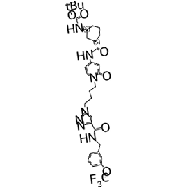 CC(C)(C)OC(=O)N[C@H]1CCC[C@H](C(=O)Nc2ccn(CCCCn3cc(C(=O)NCc4cccc(OC(F)(F)F)c4)nn3)c(=O)c2)C1